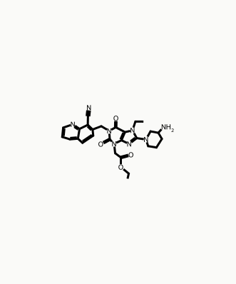 CCOC(=O)Cn1c(=O)n(Cc2ccc3cccnc3c2C#N)c(=O)c2c1nc(N1CCCC(N)C1)n2CC